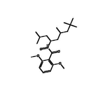 COc1cccc(OC)c1C(=O)[PH](=O)C(CC(C)C)CC(C)CC(C)(C)C